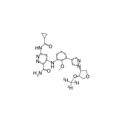 [2H]C([2H])([2H])O[C@@H]1COC[C@@H]1n1cc(-c2cccc(Nc3cc(NC(=O)C4CC4)nnc3C(N)=O)c2OC)cn1